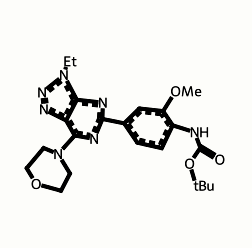 CCn1nnc2c(N3CCOCC3)nc(-c3ccc(NC(=O)OC(C)(C)C)c(OC)c3)nc21